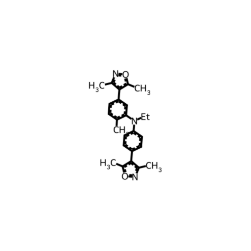 CCN(c1ccc(-c2c(C)noc2C)cc1)c1cc(-c2c(C)noc2C)ccc1C